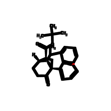 CC(c1ccccc1)N1[C@@H]2CCC(=O)[C@@]1(c1ccccc1)C[C@@H]2C(=O)OC(C)(C)C